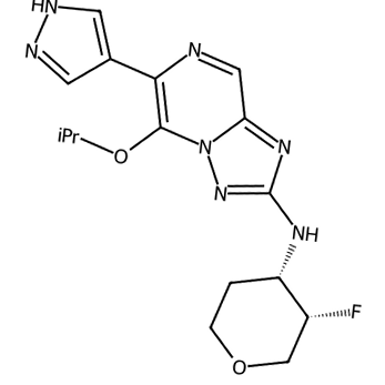 CC(C)Oc1c(-c2cn[nH]c2)ncc2nc(N[C@H]3CCOC[C@H]3F)nn12